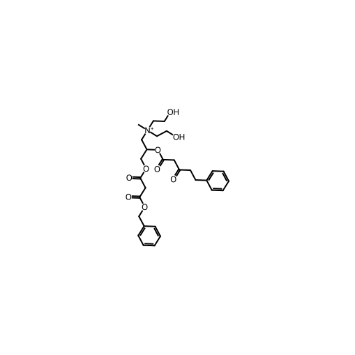 C[N+](CCO)(CCO)CC(COC(=O)CC(=O)OCc1ccccc1)OC(=O)CC(=O)CCc1ccccc1